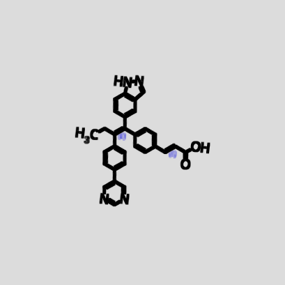 CC/C(=C(/c1ccc(/C=C/C(=O)O)cc1)c1ccc2[nH]ncc2c1)c1ccc(-c2cncnc2)cc1